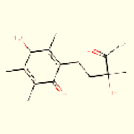 CC1=C(C)C(O)C(C)=C(CCC(C)(O)C(=O)C(C)C)C1=O